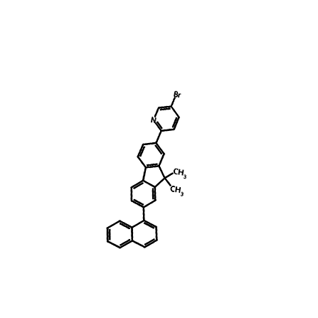 CC1(C)c2cc(-c3ccc(Br)cn3)ccc2-c2ccc(-c3cccc4ccccc34)cc21